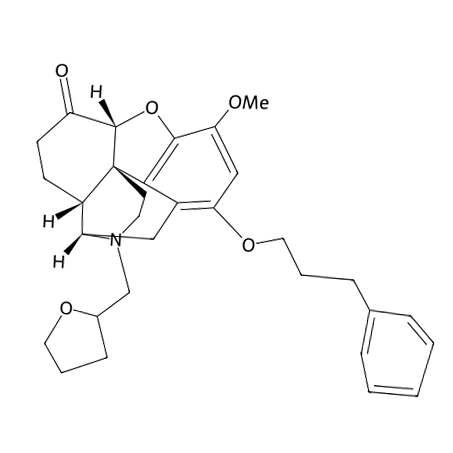 COc1cc(OCCCc2ccccc2)c2c3c1O[C@H]1C(=O)CC[C@H]4[C@@H](C2)N(CC2CCCO2)CC[C@]314